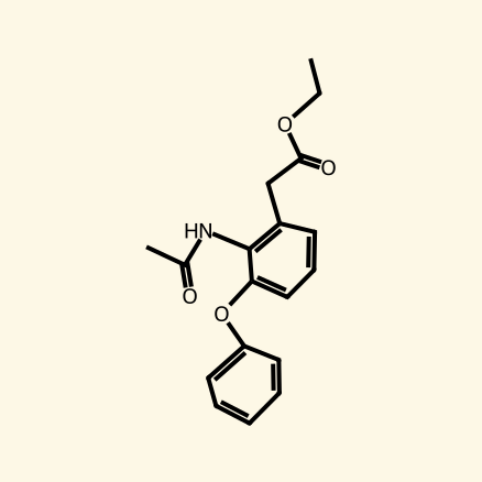 CCOC(=O)Cc1cccc(Oc2ccccc2)c1NC(C)=O